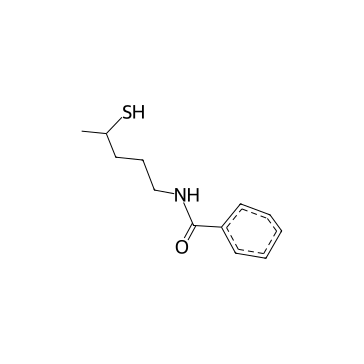 CC(S)CCCNC(=O)c1ccccc1